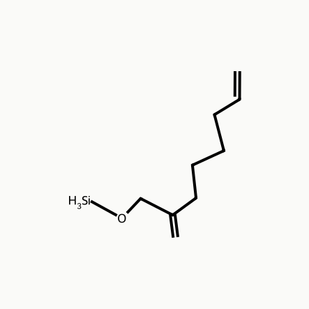 C=CCCCCC(=C)CO[SiH3]